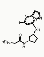 CCCCCCCCCCCC(=O)N[C@H]1CC[C@H](Nc2cc(I)nc3ccnn23)C1